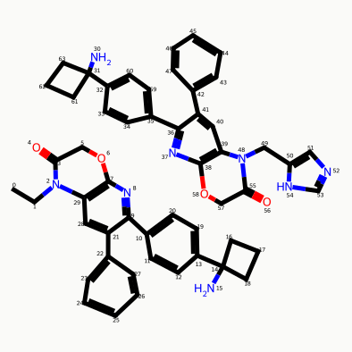 CCN1C(=O)COc2nc(-c3ccc(C4(N)CCC4)cc3)c(-c3ccccc3)cc21.NC1(c2ccc(-c3nc4c(cc3-c3ccccc3)N(Cc3cnc[nH]3)C(=O)CO4)cc2)CCC1